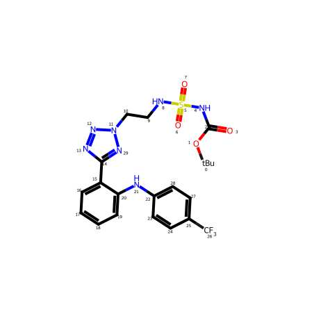 CC(C)(C)OC(=O)NS(=O)(=O)NCCn1nnc(-c2ccccc2Nc2ccc(C(F)(F)F)cc2)n1